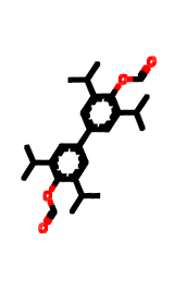 CC(C)c1cc(-c2cc(C(C)C)c(OC=O)c(C(C)C)c2)cc(C(C)C)c1OC=O